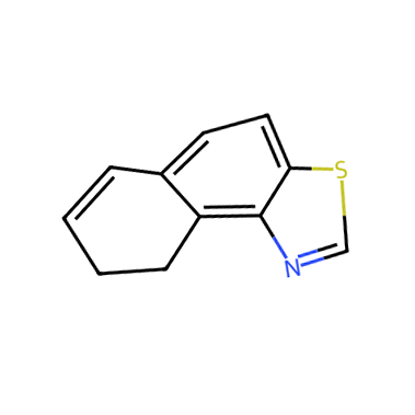 C1=Cc2ccc3scnc3c2CC1